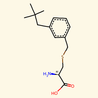 CC(C)(C)Cc1cccc(CSC[C@H](N)C(=O)O)c1